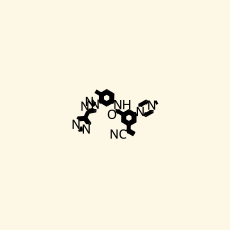 C=C(C#N)c1cc(C(=O)Nc2ccc(C)c(-n3cc(-c4cncnc4)nn3)c2)cc(N2CCN(C)CC2)c1